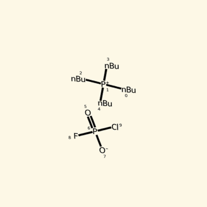 CCCC[P+](CCCC)(CCCC)CCCC.O=P([O-])(F)Cl